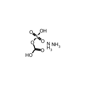 N.N.O=C(O)OS(=O)(=O)O